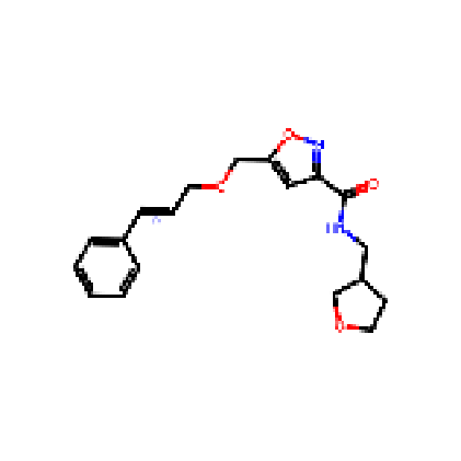 O=C(NCC1CCOC1)c1cc(COC/C=C/c2ccccc2)on1